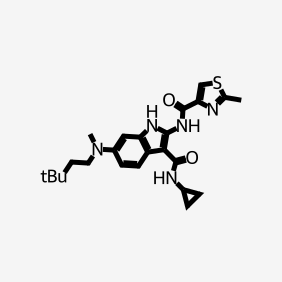 Cc1nc(C(=O)Nc2[nH]c3cc(N(C)CCC(C)(C)C)ccc3c2C(=O)NC2CC2)cs1